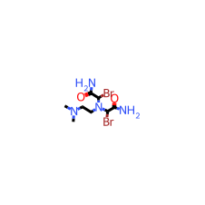 CN(C)CCN(C(Br)C(N)=O)C(Br)C(N)=O